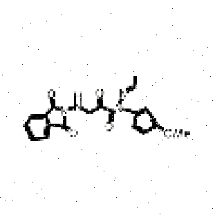 C/C=N/N(C(=O)C(=O)CNN1C(=O)c2ccccc2C1=O)c1ccc(OC)cc1